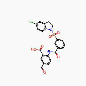 O=Cc1ccc(NC(=O)c2cccc(S(=O)(=O)N3CCc4cc(Cl)ccc43)c2)c(C(=O)O)c1